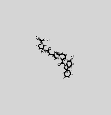 O=C(Cc1cn2c(C(=O)NCC3(c4ccc(Cl)cc4)CCCCC3)cccc2n1)N[C@@H]1CCN(C(=O)O)C1